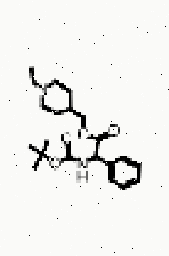 CCN1CCC(COC(=O)C(NC(=O)OC(C)(C)C)c2ccccc2)CC1